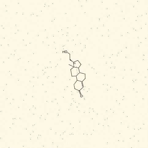 CC12CCC3C4CCC(=O)C=C4CCC3C1CC[C@@H]2CCO